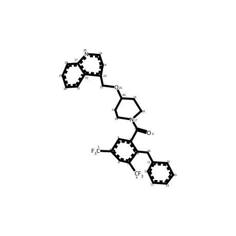 O=C(c1cc(C(F)(F)F)cc(C(F)(F)F)c1Cc1ccccc1)N1CCC(OCc2ccnc3ccccc23)CC1